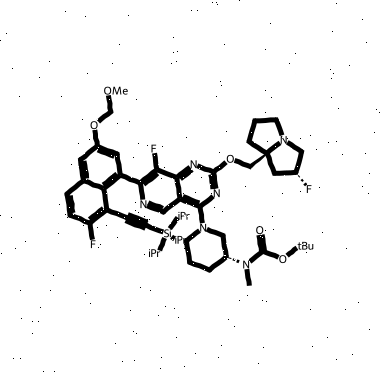 COCOc1cc(-c2ncc3c(N4CCC[C@@H](N(C)C(=O)OC(C)(C)C)C4)nc(OC[C@@]45CCCN4C[C@H](F)C5)nc3c2F)c2c(C#C[Si](C(C)C)(C(C)C)C(C)C)c(F)ccc2c1